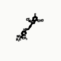 CC(C)(C#N)c1ccc(NCC#Cc2cc3c(C=O)cc(F)cc3n2CC(F)(F)F)cn1